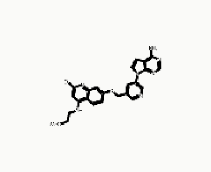 CCc1cc(NCCOC)c2ccc(OCc3cncc(-n4ccc5c(N)ncnc54)c3)cc2n1